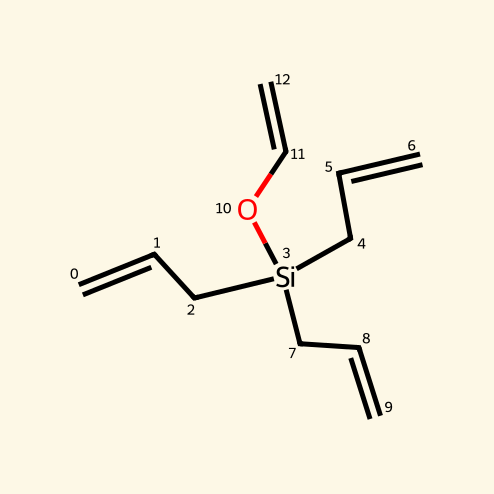 C=CC[Si](CC=C)(CC=C)OC=C